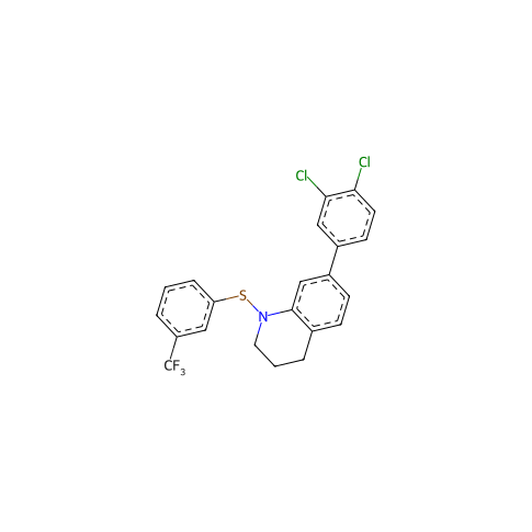 FC(F)(F)c1cccc(SN2CCCc3ccc(-c4ccc(Cl)c(Cl)c4)cc32)c1